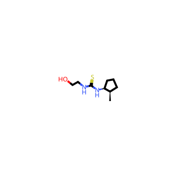 C[C@@H]1CCC[C@@H]1NC(=S)NCCO